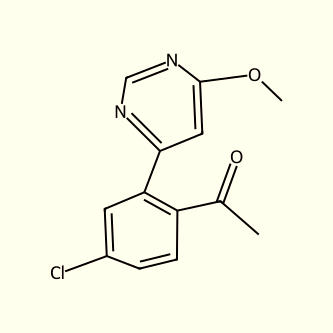 COc1cc(-c2cc(Cl)ccc2C(C)=O)ncn1